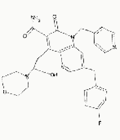 NC(=O)c1c(CC(O)N2CCOCC2)c2ncc(Cc3ccc(F)cc3)cc2n(Cc2ccncc2)c1=O